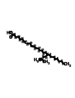 CCCCCCCCCC(CCCCCCC=CCCCCCCCCCC(=O)O)CCN(C)C